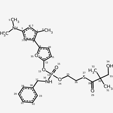 Cc1sc(N(C)C)nc1-c1ccc(OP(=O)(NCc2ccccc2)OCCSC(=O)C(C)(C)CO)o1